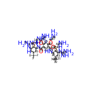 CC(C)(C)c1cc(NC(=N)N)c(SCCN)c(NC(=O)c2cc(C(=O)Nc3cc(C(C)(C)C)cc(NC(=N)N)c3SCCN)c(OCCN)cc2OCCN)c1